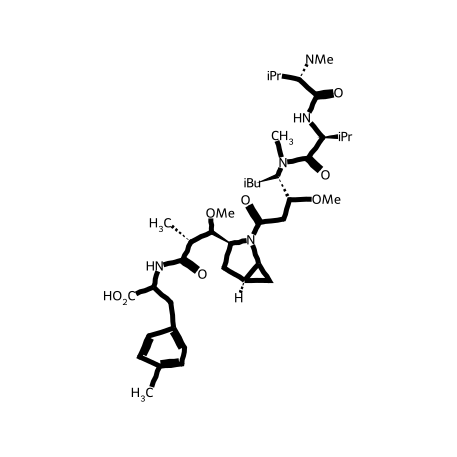 CC[C@H](C)[C@@H](C(CC(=O)N1C2C[C@H]2C[C@H]1C(OC)[C@@H](C)C(=O)NC(Cc1ccc(C)cc1)C(=O)O)OC)N(C)C(=O)[C@@H](NC(=O)[C@@H](NC)C(C)C)C(C)C